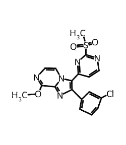 COc1nccn2c(-c3ccnc(S(C)(=O)=O)n3)c(-c3cccc(Cl)c3)nc12